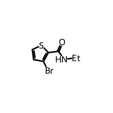 CCNC(=O)c1sccc1Br